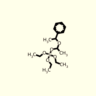 CCO[Si](OCC)(OCC)OC(C)OC(C)c1ccccc1